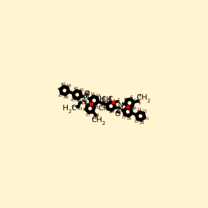 C=CCN(c1ccc(C=C)cc1)P(=O)(c1ccc(-c2ccccc2)cc1)c1ccc(C(C)(C)c2ccc(P(=O)(c3ccc(-c4ccccc4)cc3)N(CC=C)c3ccc(C=C)cc3)cc2)cc1